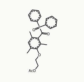 CC(=O)OCCOc1c(C)cc(C)c(C(=O)P(=O)(c2ccccc2)c2ccccc2)c1C